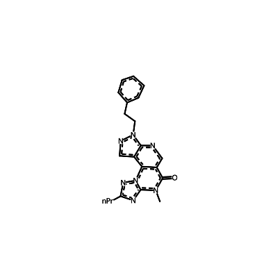 CCCc1nc2n(C)c(=O)c3cnc4c(cnn4CCc4ccccc4)c3n2n1